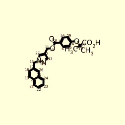 CC(C)(Oc1ccc(C(=O)OCc2cnn(Cc3ccc4ccccc4c3)c2)cc1)C(=O)O